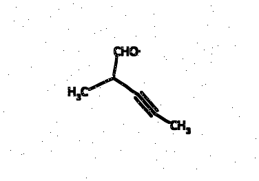 CC#CC(C)[C]=O